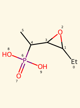 CCC1OC1C(C)P(=O)(O)O